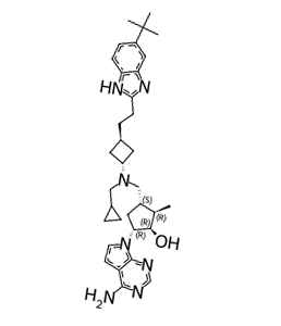 C[C@@H]1[C@@H](CN(CC2CC2)[C@H]2C[C@H](CCc3nc4cc(C(C)(C)C)ccc4[nH]3)C2)C[C@@H](n2ccc3c(N)ncnc32)[C@@H]1O